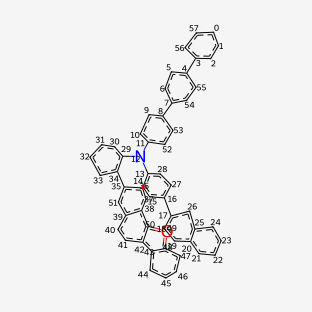 c1ccc(-c2ccc(-c3ccc(N(c4ccc(-c5ccc6ccccc6c5)cc4)c4ccccc4-c4ccc5c(ccc6c7ccccc7oc56)c4)cc3)cc2)cc1